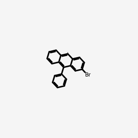 Brc1ccc2[c]c3ccccc3c(-c3ccccc3)c2c1